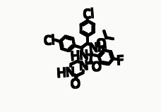 CC(C)Oc1cc(F)ccc1C1(C(=O)N2CCNC(=O)C2)NC(c2ccc(Cl)cc2)C(c2ccc(Cl)cc2)N1